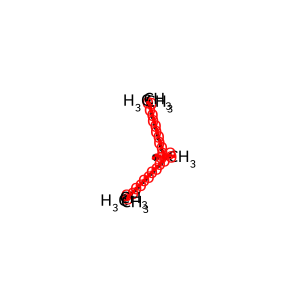 COC(=O)c1cc(OCCOCCOCCOCCOCCOCCOCCOCCOCCC(=O)OC(C)(C)C)c(OCc2ccccc2)c(OCCOCCOCCOCCOCCOCCOCCOCCOCCC(=O)OC(C)(C)C)c1